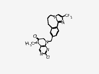 CN1C(=O)CN(Cc2ccc3c(c2)CCCn2cc(C(F)(F)F)nc2-3)c2nc(Cl)ncc21